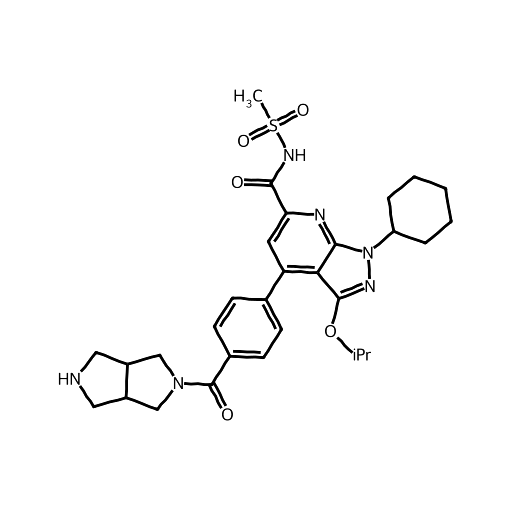 CC(C)Oc1nn(C2CCCCC2)c2nc(C(=O)NS(C)(=O)=O)cc(-c3ccc(C(=O)N4CC5CNCC5C4)cc3)c12